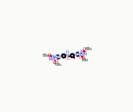 Cc1cc(C(=O)Nc2ccc(N3CCN(/C(=N/C(=O)OC(C)(C)C)NC(=O)OC(C)(C)C)CC3)cc2)ccc1N1CCN(/C(=N/C(=O)OC(C)(C)C)NC(=O)OC(C)(C)C)CC1